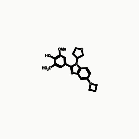 COc1cc(-c2nc3cc(N4CCC4)ccc3n2C2CCOC2)cc(C(=O)O)c1O